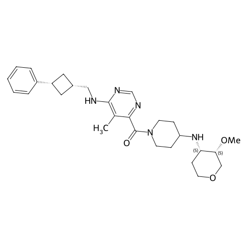 CO[C@@H]1COCC[C@@H]1NC1CCN(C(=O)c2ncnc(NC[C@H]3C[C@@H](c4ccccc4)C3)c2C)CC1